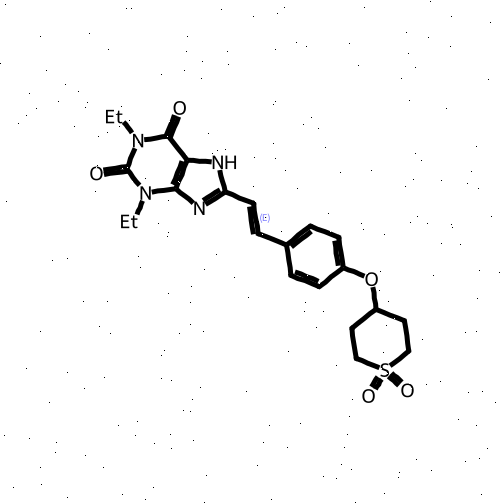 CCn1c(=O)c2[nH]c(/C=C/c3ccc(OC4CCS(=O)(=O)CC4)cc3)nc2n(CC)c1=O